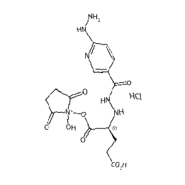 Cl.NNc1ccc(C(=O)NN[C@@H](CCC(=O)O)C(=O)O[N+]2(O)C(=O)CCC2=O)cn1